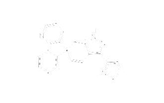 C1=CC(c2ccccc2)(c2cccnc2)Cc2[nH]nc(-c3cocn3)c21